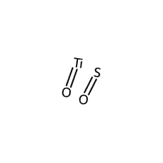 O=S.[O]=[Ti]